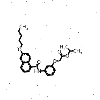 CCCCCOc1ccc2c(C(=O)Nc3cccc(OCC(=O)OC(C)C)c3)cccc2c1